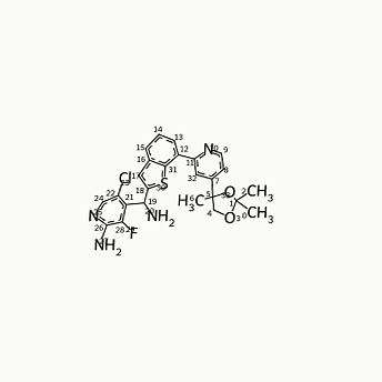 CC1(C)OCC(C)(c2ccnc(-c3cccc4cc(C(N)c5c(Cl)cnc(N)c5F)sc34)c2)O1